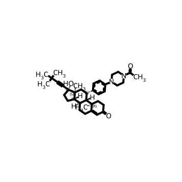 CC(=O)N1CCN(c2ccc([C@H]3C[C@@]4(C)[C@@H](CC[C@@]4(O)C#CC(C)(C)C)[C@@H]4CCC5=CC(=O)CC[C@]5(C)[C@H]43)cc2)CC1